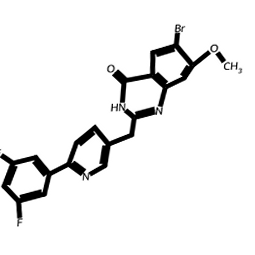 COc1cc2nc(Cc3ccc(-c4cc(F)cc(F)c4)nc3)[nH]c(=O)c2cc1Br